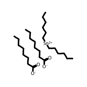 CCCCCCCC(=O)[O-].CCCCCCCC(=O)[O-].CCCCC[CH2][Sn+2][CH2]CCCCC